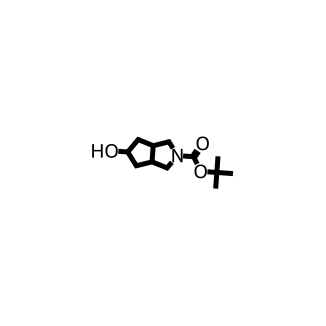 CC(C)(C)OC(=O)N1CC2CC(O)CC2C1